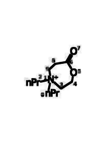 CCC[N+]1(CCC)CCOC(=O)CC1